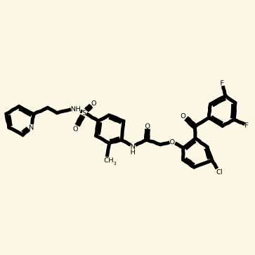 Cc1cc(S(=O)(=O)NCCc2ccccn2)ccc1NC(=O)COc1ccc(Cl)cc1C(=O)c1cc(F)cc(F)c1